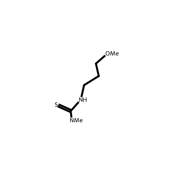 CNC(=S)NCCCOC